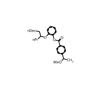 CCCCCCCCCCCC(CCC)Oc1ccccc1OC(=O)c1ccc(C(C)OC)cc1